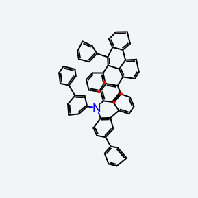 c1ccc(-c2cccc(N(c3ccc(-c4cccc5c4c(-c4ccccc4)c(-c4ccccc4)c4ccccc45)cc3)c3ccc(-c4ccccc4)cc3-c3ccccc3)c2)cc1